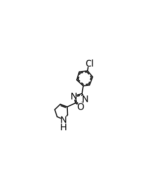 Clc1ccc(-c2noc(C3=CCCNC3)n2)cc1